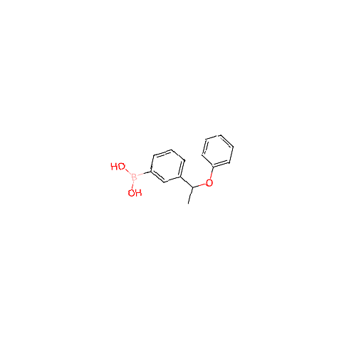 CC(Oc1ccccc1)c1cccc(B(O)O)c1